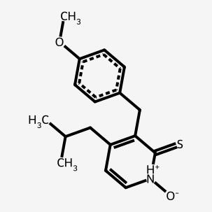 COc1ccc(CC2=C(CC(C)C)C=C[NH+]([O-])C2=S)cc1